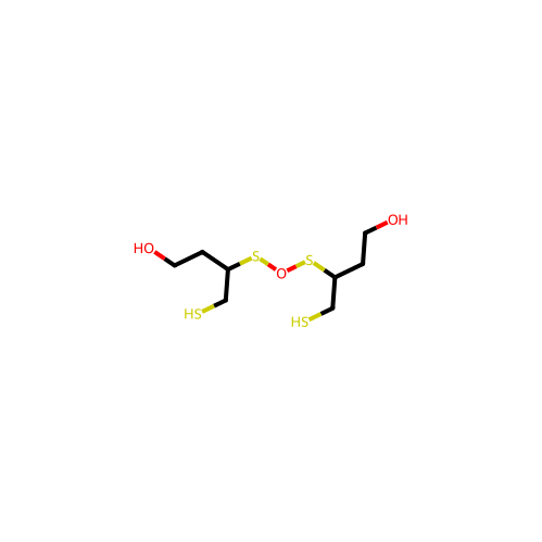 OCCC(CS)SOSC(CS)CCO